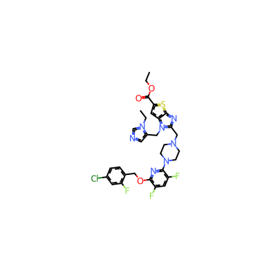 CCOC(=O)c1cc2c(nc(CN3CCN(c4nc(OCc5ccc(Cl)cc5F)c(F)cc4F)CC3)n2Cc2cncn2CC)s1